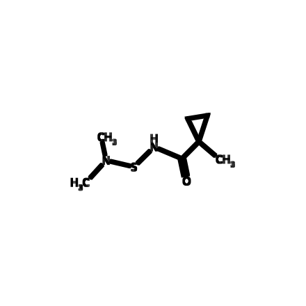 CN(C)SNC(=O)C1(C)CC1